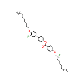 CCCCCCCCOc1ccc(-c2ccc(OC(=O)c3ccc(OC[C@H](F)CCCCCC)cc3)cc2)cc1F